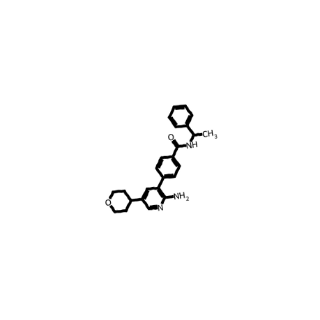 CC(NC(=O)c1ccc(-c2cc(C3CCOCC3)cnc2N)cc1)c1ccccc1